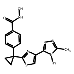 Cc1nnc(-c2csc(C3(c4ccc(C(=O)NO)cc4)CC3)n2)n1C(C)C